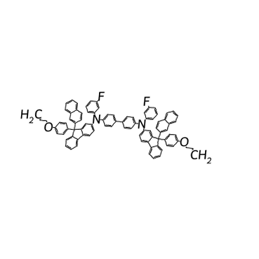 C=CCOc1ccc(C2(c3ccc4ccccc4c3)c3ccccc3-c3ccc(N(c4ccc(-c5ccc(N(c6cccc(F)c6)c6ccc7c(c6)C(c6ccc(OCC=C)cc6)(c6ccc8ccccc8c6)c6ccccc6-7)cc5)cc4)c4cccc(F)c4)cc32)cc1